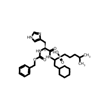 CC(C)CCCP(=O)(O)C(CC1CCCCC1)NC(=O)[C@H](Cc1c[nH]cn1)NC(=O)OCc1ccccc1